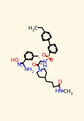 CCc1ccc(-c2cccc(S(=O)(=O)N[C@@H](Cc3cccc(/C(N)=N\O)c3)C(=O)N3CCC(CCCC(=O)NC)CC3)c2)cc1